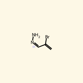 C=C(Br)/C=N\N